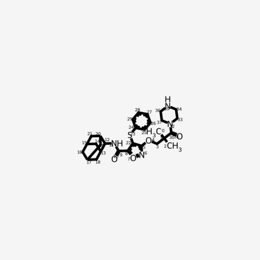 CC(C)(COc1noc(C(=O)NC2C3CC4CC(C3)CC2C4)c1Sc1ccccc1)C(=O)N1CCNCC1